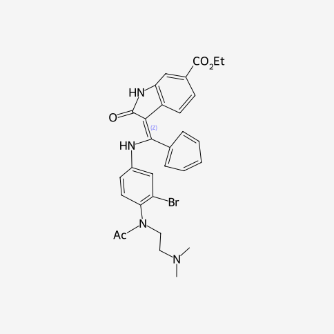 CCOC(=O)c1ccc2c(c1)NC(=O)/C2=C(\Nc1ccc(N(CCN(C)C)C(C)=O)c(Br)c1)c1ccccc1